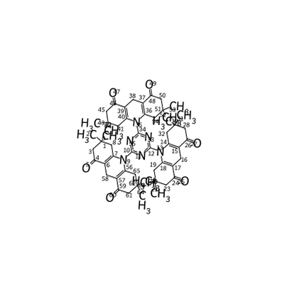 CC1(C)CC(=O)C2=C(C1)N(c1nc(N3C4=C(CC5=C3CC(C)(C)CC5=O)C(=O)CC(C)(C)C4)nc(N3C4=C(CC5=C3CC(C)(C)CC5=O)C(=O)CC(C)(C)C4)n1)C1=C(C2)C(=O)CC(C)(C)C1